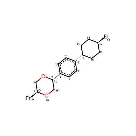 CC[C@H]1CO[C@H](c2ccc([C@H]3CC[C@H](CC)CC3)cc2)CO1